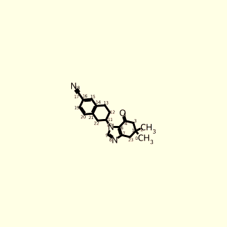 CC1(C)CC(=O)c2c(ncn2C2CCc3cc(C#N)ccc3C2)C1